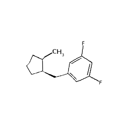 CC1CCC[C@@H]1Cc1cc(F)cc(F)c1